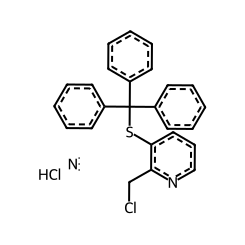 Cl.ClCc1ncccc1SC(c1ccccc1)(c1ccccc1)c1ccccc1.[N]